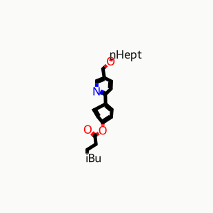 CCCCCCCOCc1ccc(-c2ccc(OC(=O)CCC(C)CC)cc2)nc1